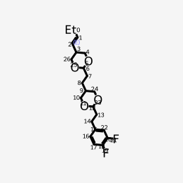 CC/C=C/C1COC(CCC2COC(CCc3ccc(F)c(F)c3)OC2)OC1